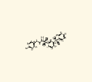 Cc1ccc(CCNS(=O)(=O)c2cccc(S(=O)(=O)c3ccccc3)c2)cc1